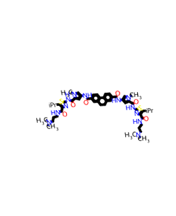 CC(C)c1sc(NC(=O)c2cc(NC(=O)c3ccc4c(c3)CCc3cc(C(=O)Nc5cc(C(=O)Nc6nc(C(=O)NCCCN(C)C)c(C(C)C)s6)n(C)c5)ccc3-4)cn2C)nc1C(=O)NCCCN(C)C